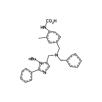 CCCCn1c(CN(Cc2ccccc2)Cc2ccc(NC(=O)O)c(C)c2)cnc1-c1ccccc1